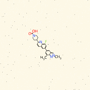 Cc1cc(-c2cc(F)c3nc(C4CCN(C(=O)O)CC4)ccc3c2)cc2cn(C)nc12